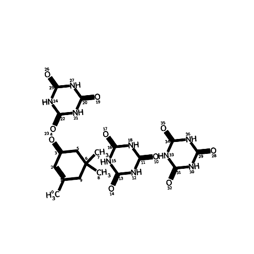 CC1=CC(=O)CC(C)(C)C1.O=c1[nH]c(=O)[nH]c(=O)[nH]1.O=c1[nH]c(=O)[nH]c(=O)[nH]1.O=c1[nH]c(=O)[nH]c(=O)[nH]1